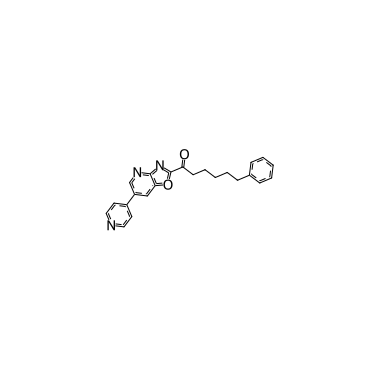 O=C(CCCCCc1ccccc1)c1nc2ncc(-c3ccncc3)cc2o1